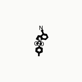 Cc1ccc(S(=O)(=O)n2ccc3c2CCC=C3C#N)cc1